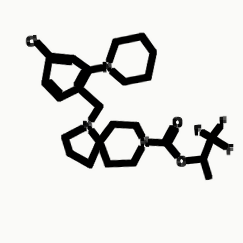 CC(OC(=O)N1CCC2(CCCN2Cc2ccc(Cl)cc2N2CCCCC2)CC1)C(F)(F)F